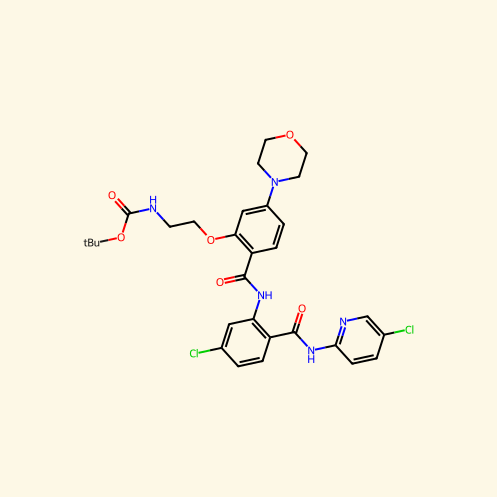 CC(C)(C)OC(=O)NCCOc1cc(N2CCOCC2)ccc1C(=O)Nc1cc(Cl)ccc1C(=O)Nc1ccc(Cl)cn1